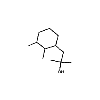 CC1CCCC(CC(C)(C)O)C1C